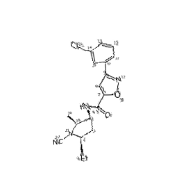 CC[C@@H]1C[C@H](NC(=O)c2cc(-c3cccc(Cl)c3)no2)[C@H](C)N1C#N